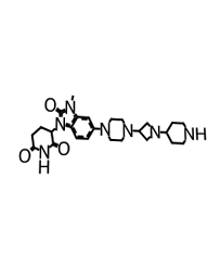 Cn1c(=O)n(C2CCC(=O)NC2=O)c2ccc(N3CCN(C4CN(C5CCNCC5)C4)CC3)cc21